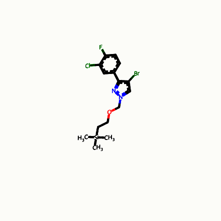 C[Si](C)(C)CCOCn1cc(Br)c(-c2ccc(F)c(Cl)c2)n1